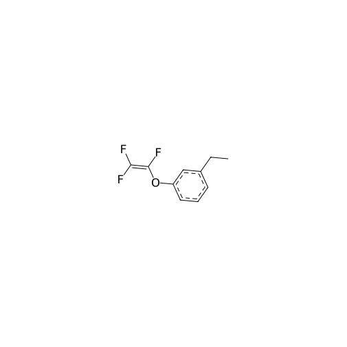 CCc1cccc(OC(F)=C(F)F)c1